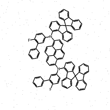 Fc1ccc(N(c2cccc3c2-c2ccccc2C32c3ccccc3-c3ccccc32)c2ccc3ccc4c(N(c5ccc(F)c(-c6ccccc6)c5)c5cccc6c5-c5ccccc5C65c6ccccc6-c6ccccc65)ccc5ccc2c3c54)cc1-c1ccccc1